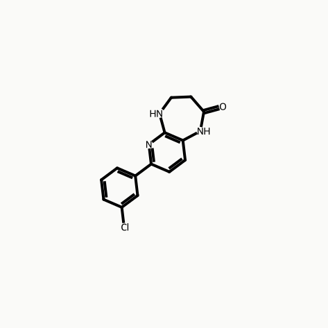 O=C1CCNc2nc(-c3cccc(Cl)c3)ccc2N1